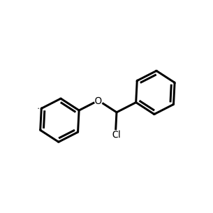 ClC(Oc1c[c]ccc1)c1ccccc1